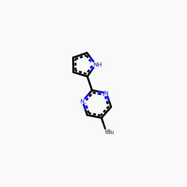 CC(C)(C)c1cnc(-c2ccc[nH]2)nc1